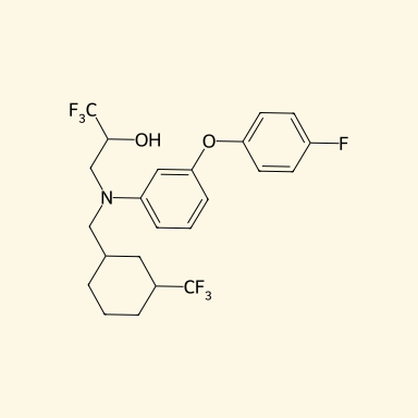 OC(CN(CC1CCCC(C(F)(F)F)C1)c1cccc(Oc2ccc(F)cc2)c1)C(F)(F)F